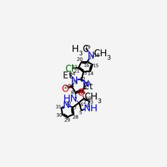 CCO[C@H]1CNC[C@@]1(Nc1c(C)nc(-c2ccc(N(C)C)cc2Cl)n(CC)c1=O)c1ccccn1